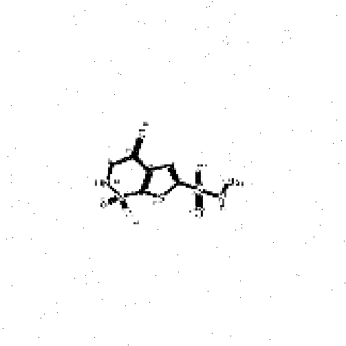 CC(C)(C)NS(=O)(=O)c1cc2c(s1)S(=O)(=O)NCC2=O